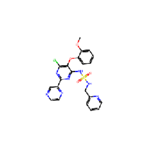 COc1ccccc1Oc1c(Cl)nc(-c2cnccn2)nc1NS(=O)(=O)NCc1ccccn1